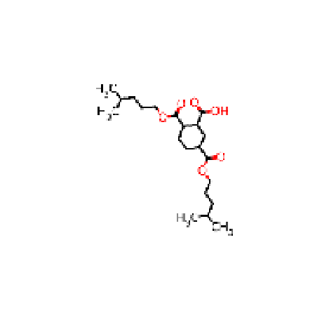 CC(C)CCCOC(=O)C1CCC(C(=O)OCCCC(C)C)C(C(=O)O)C1